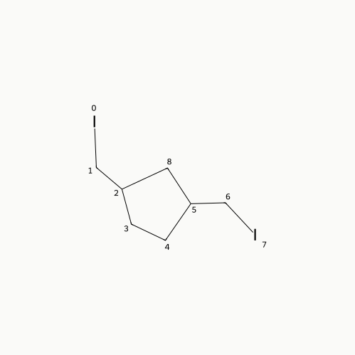 ICC1CCC(CI)C1